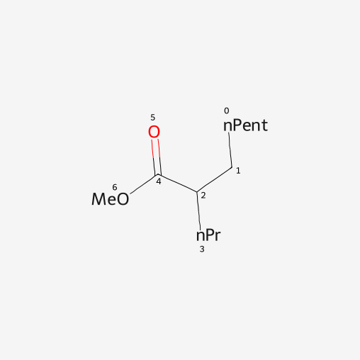 CCCCCCC(CCC)C(=O)OC